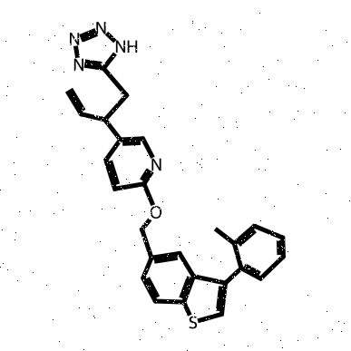 C=CC(Cc1nnn[nH]1)c1ccc(OCc2ccc3scc(-c4ccccc4C)c3c2)nc1